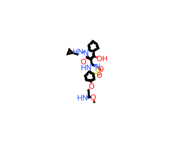 COC(=N)COc1ccc2c(c1)S(=O)(=O)N=C(c1c(O)c3ccccc3n(NCC3CC3)c1=O)N2